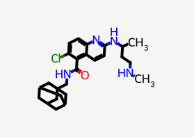 CNCCC(C)Nc1ccc2c(C(=O)NCC34CC5CC(CC(C5)C3)C4)c(Cl)ccc2n1